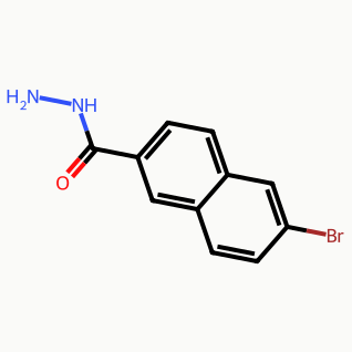 NNC(=O)c1ccc2cc(Br)ccc2c1